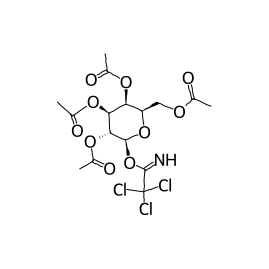 CC(=O)OC[C@H]1O[C@@H](OC(=N)C(Cl)(Cl)Cl)[C@H](OC(C)=O)[C@@H](OC(C)=O)[C@H]1OC(C)=O